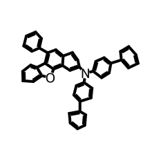 c1ccc(-c2ccc(N(c3ccc(-c4ccccc4)cc3)c3ccc4cc(-c5ccccc5)c5c6ccccc6oc5c4c3)cc2)cc1